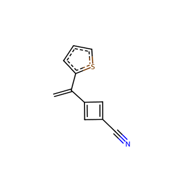 C=C(C1=CC(C#N)=C1)c1cccs1